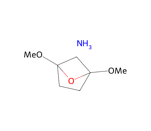 COC12CCC(OC)(C1)O2.N